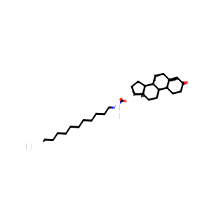 CCCCCCCCCCCCNC(=O)O[C@H]1CCC2C3C(CC[C@@]21C)C1CCC(=O)C=C1C[C@@H]3C